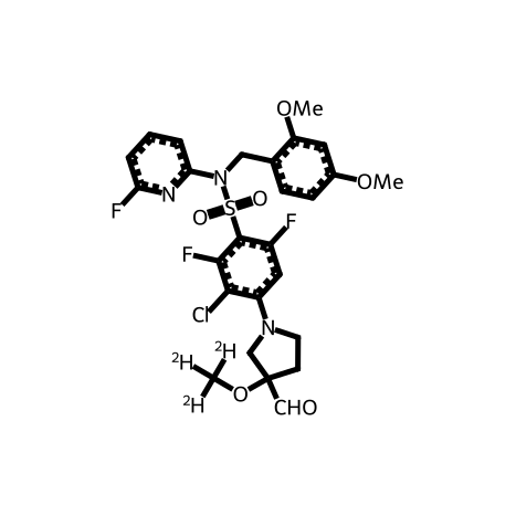 [2H]C([2H])([2H])OC1(C=O)CCN(c2cc(F)c(S(=O)(=O)N(Cc3ccc(OC)cc3OC)c3cccc(F)n3)c(F)c2Cl)C1